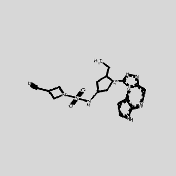 CCC1CC(NS(=O)(=O)N2CC(C#N)C2)C[C@@H]1c1nnc2cnc3[nH]ccc3n12